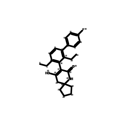 CCc1ccc(-c2ccc(F)cc2)c(CC)c1C1=C(O)CC2(CCCC2)NC1=O